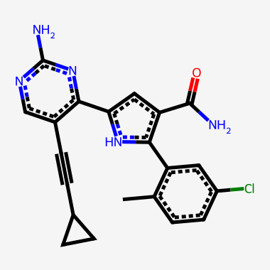 Cc1ccc(Cl)cc1-c1[nH]c(-c2nc(N)ncc2C#CC2CC2)cc1C(N)=O